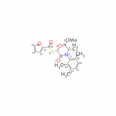 COC(=O)C(C)N(C(=O)CSC(=O)c1ccco1)c1c(C)ccc(C)c1C